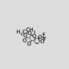 CC1(C)OC(=O)C(C(=O)c2ccc3c(c2)OC(F)(F)O3)C(=O)O1